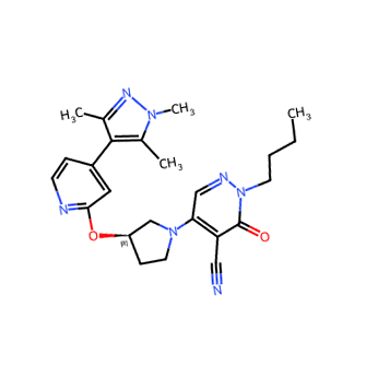 CCCCn1ncc(N2CC[C@@H](Oc3cc(-c4c(C)nn(C)c4C)ccn3)C2)c(C#N)c1=O